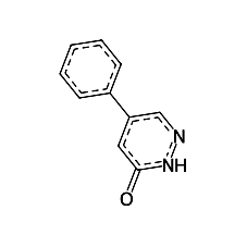 O=c1cc(-c2ccccc2)cn[nH]1